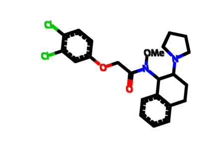 CON(C(=O)COc1ccc(Cl)c(Cl)c1)C1c2ccccc2CCC1N1CCCC1